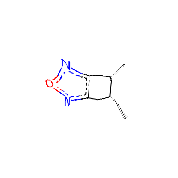 C[C@@H]1c2nonc2[C@@H]1C